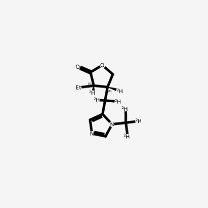 [2H]C([2H])([2H])n1cncc1C([2H])([2H])[C@@]1([2H])COC(=O)[C@@]1([2H])CC